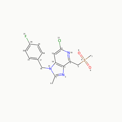 Cc1nc2c(CS(C)(=O)=O)nc(Cl)cc2n1Cc1ccc(F)cc1